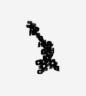 CCC(CC)(NC(=O)c1nn(-c2ccc(Cl)cc2Cl)c(-c2ccc(Cl)cc2)c1C)C(=O)NCCOCCNC(=O)OC(C)(C)C